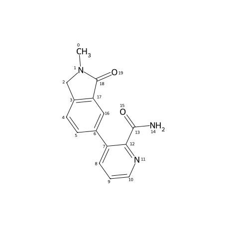 CN1Cc2ccc(-c3cccnc3C(N)=O)cc2C1=O